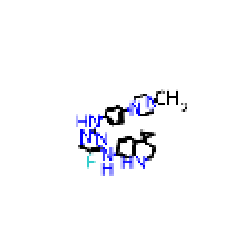 CN1CCN(c2ccc(Nc3ncc(F)c(Nc4ccc5c(c4)NCCC54CC4)n3)cc2)CC1